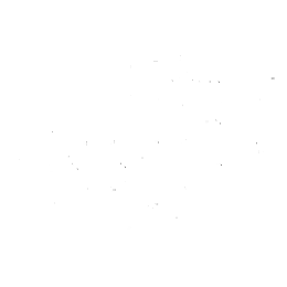 CN1C2CCC1CC(Nc1nc(Nc3ccc(N4CCN(S(C)(=O)=O)CC4)c(C(F)(F)F)c3)ncc1F)C2